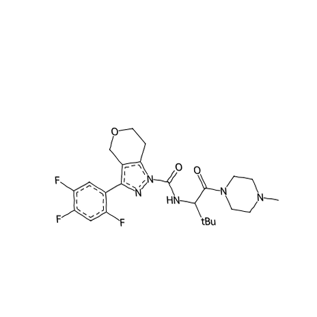 CN1CCN(C(=O)C(NC(=O)n2nc(-c3cc(F)c(F)cc3F)c3c2CCOC3)C(C)(C)C)CC1